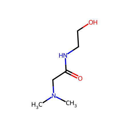 CN(C)CC(=O)NCCO